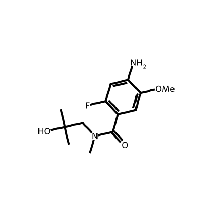 COc1cc(C(=O)N(C)CC(C)(C)O)c(F)cc1N